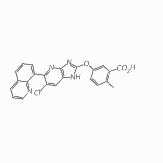 Cc1ccc(Oc2nc3nc(-c4cccc5cccnc45)c(Cl)cc3[nH]2)cc1C(=O)O